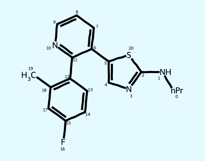 CCCNc1ncc(-c2cccnc2-c2ccc(F)cc2C)s1